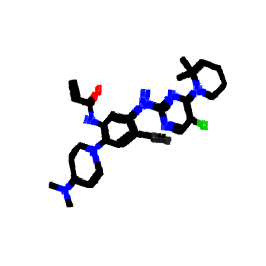 C=CC(=O)Nc1cc(Nc2ncc(Cl)c(N3CCCCC3(C)C)n2)c(OC)cc1N1CCC(N(C)C)CC1